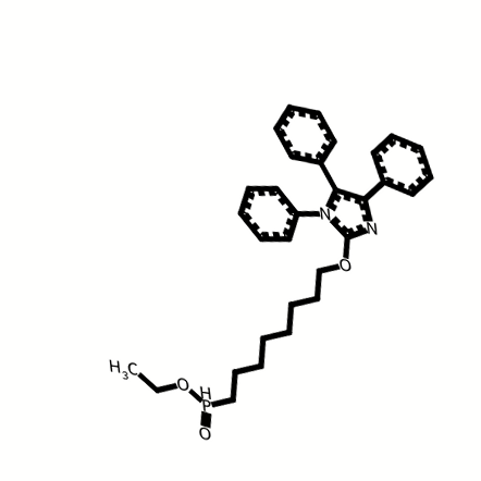 CCO[PH](=O)CCCCCCCCOc1nc(-c2ccccc2)c(-c2ccccc2)n1-c1ccccc1